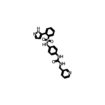 O=C(NCc1cccnc1)Nc1ccc(NS(=O)(=O)c2ccccc2-c2ccn[nH]2)cc1